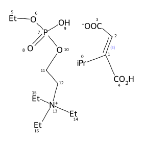 CC(C)/C(=C\C(=O)[O-])C(=O)O.CCOP(=O)(O)OCC[N+](CC)(CC)CC